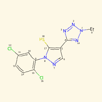 CCn1nnc(-c2cnn(-c3cc(Cl)ccc3Cl)c2S)n1